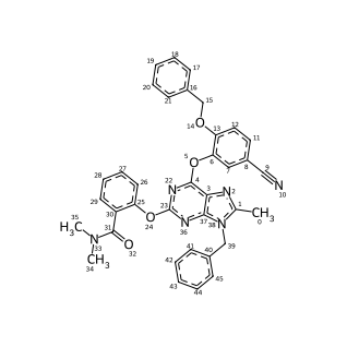 Cc1nc2c(Oc3cc(C#N)ccc3OCc3ccccc3)nc(Oc3ccccc3C(=O)N(C)C)nc2n1Cc1ccccc1